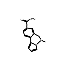 COC(=O)c1ccc2c(c1)CN(C)n1cccc1-2